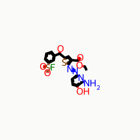 CCOC(=O)c1cc(C(=O)c2cccc(S(=O)(=O)F)c2)sc1/N=N/c1ccc(O)c(N)n1